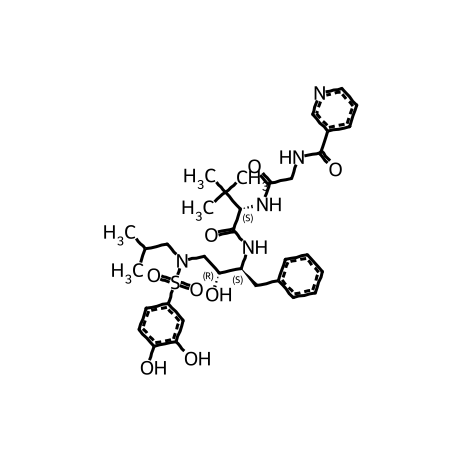 CC(C)CN(C[C@@H](O)[C@H](Cc1ccccc1)NC(=O)[C@@H](NC(=O)CNC(=O)c1cccnc1)C(C)(C)C)S(=O)(=O)c1ccc(O)c(O)c1